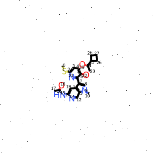 CSc1cc2c(c(-c3cn(C)c4cnc(NC(C)=O)cc34)n1)OCC(C1CCC1)O2